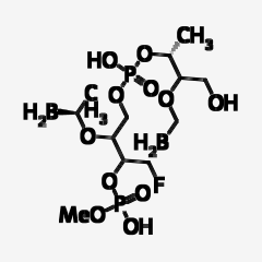 BCOC(CO)[C@@H](C)OP(=O)(O)OCC(O[C@@H](B)C)C(CF)OP(=O)(O)OC